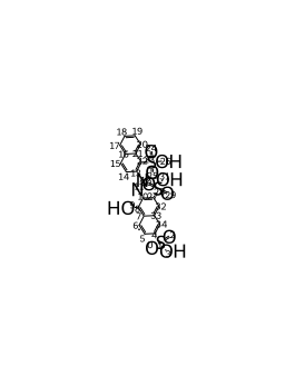 O=S(=O)(O)c1c[c]c2c(O)c(N=Nc3ccc4ccccc4c3S(=O)(=O)O)c(S(=O)(=O)O)cc2c1